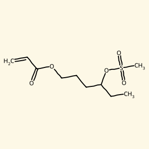 C=CC(=O)OCCCC(CC)OS(C)(=O)=O